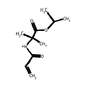 C=CC(=O)NC(C)(C)C(=O)OC(C)C